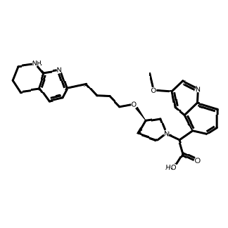 COc1cnc2cccc(C(C(=O)O)N3CC[C@@H](OCCCCc4ccc5c(n4)NCCC5)C3)c2c1